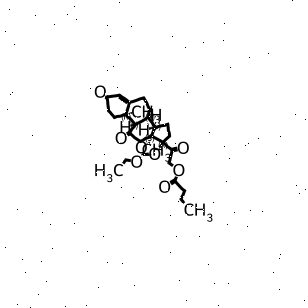 CCCC(=O)OCC(=O)[C@@]1(OC(=O)OCC)CC[C@H]2[C@@H]3CCC4=CC(=O)CC[C@]4(C)[C@H]3C(=O)C[C@@]21C